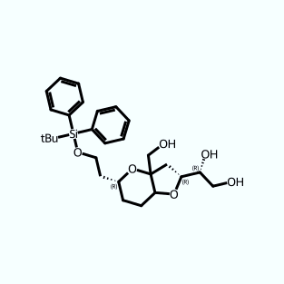 CC(C)(C)[Si](OCC[C@H]1CCC2O[C@@H]([C@H](O)CO)CC2(CO)O1)(c1ccccc1)c1ccccc1